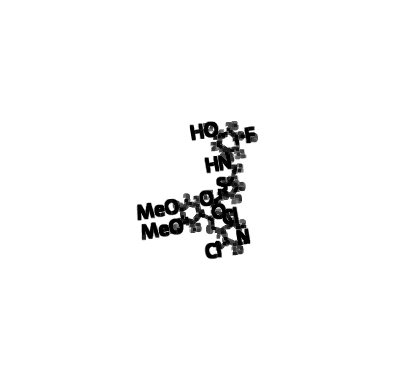 COc1ccc([C@H](Cc2c(Cl)cncc2Cl)OC(=O)c2ccc(CNc3cc(O)cc(F)c3)s2)cc1OC